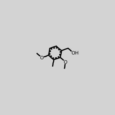 COc1ccc(CO)c(OC)c1C